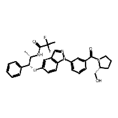 C[C@H](NC(=O)C(C)(F)F)[C@H](Oc1ccc2c(cnn2-c2cccc(C(=O)N3CCC[C@@H]3CO)c2)c1)c1ccccc1